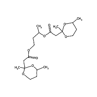 CC(CCOC(=O)CC1(C)OCCC(C)O1)OC(=O)CC1(C)OCCC(C)O1